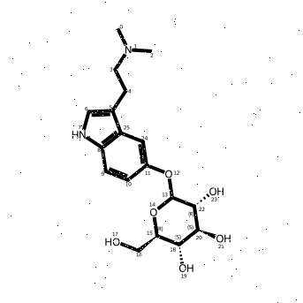 CN(C)CCc1c[nH]c2ccc(OC3O[C@H](CO)[C@@H](O)[C@H](O)[C@H]3O)cc12